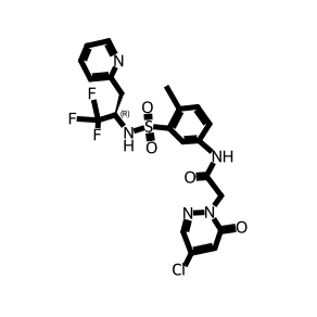 Cc1ccc(NC(=O)Cn2ncc(Cl)cc2=O)cc1S(=O)(=O)N[C@H](Cc1ccccn1)C(F)(F)F